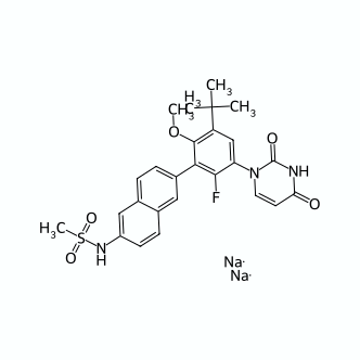 COc1c(C(C)(C)C)cc(-n2ccc(=O)[nH]c2=O)c(F)c1-c1ccc2cc(NS(C)(=O)=O)ccc2c1.[Na].[Na]